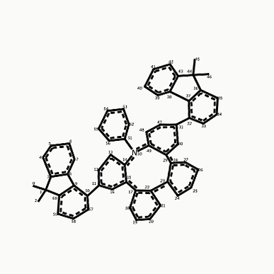 CC1(C)c2ccccc2-c2c(-c3ccc4c(c3)c3ccccc3c3ccccc3c3cc(-c5cccc6c5-c5ccccc5C6(C)C)ccc3n4-c3ccccc3)cccc21